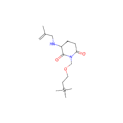 C=C(C)CNC1CCC(=O)N(COCC[Si](C)(C)C)C1=O